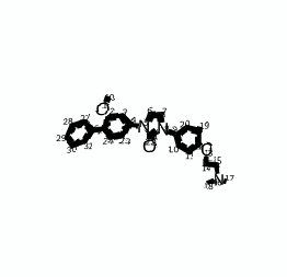 COc1cc(-n2ccn(-c3ccc(OCCN(C)C)cc3)c2=O)ccc1-c1ccccc1